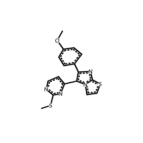 COc1ccc(-c2nc3sccn3c2-c2ccnc(SC)n2)cc1